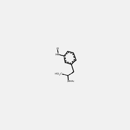 CCNc1cccc(CC(NC(C)=O)C(=O)O)c1